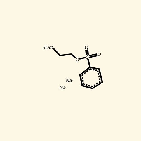 CCCCCCCCCCOS(=O)(=O)c1ccccc1.[Na].[Na]